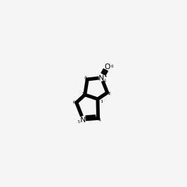 O=[N+]1CC2C=NCC2C1